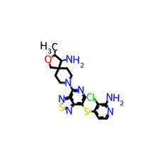 C[C@@H]1OCC2(CCN(c3ncc(Sc4ccnc(N)c4Cl)c4nsnc34)CC2)[C@@H]1N